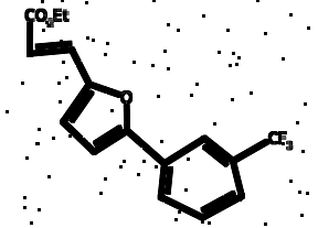 CCOC(=O)/C=C/c1ccc(-c2cccc(C(F)(F)F)c2)o1